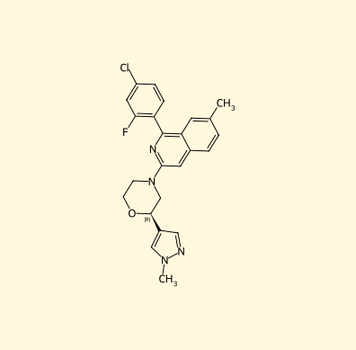 Cc1ccc2cc(N3CCO[C@H](c4cnn(C)c4)C3)nc(-c3ccc(Cl)cc3F)c2c1